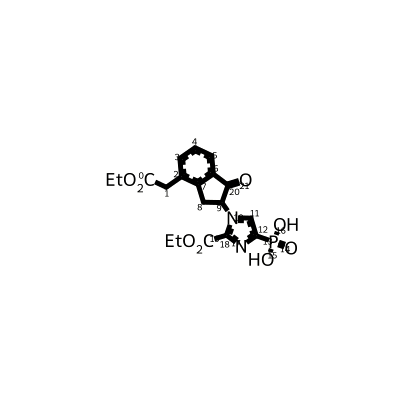 CCOC(=O)Cc1cccc2c1CC(n1cc(P(=O)(O)O)nc1C(=O)OCC)C2=O